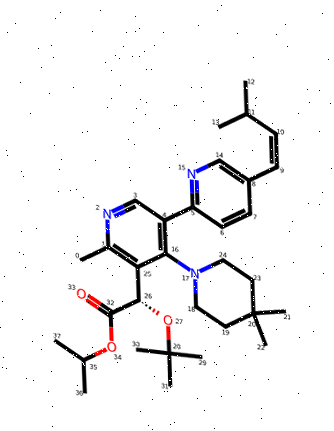 Cc1ncc(-c2ccc(/C=C\C(C)C)cn2)c(N2CCC(C)(C)CC2)c1[C@H](OC(C)(C)C)C(=O)OC(C)C